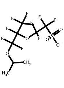 CC(C)OC(F)(F)C(F)(OC(F)(F)C(F)(F)S(=O)(=O)O)C(F)(F)F